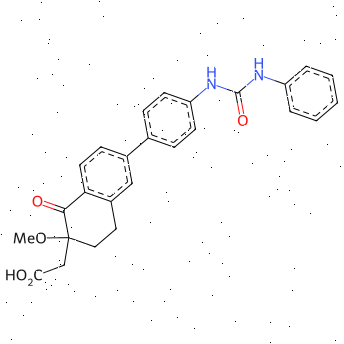 COC1(CC(=O)O)CCc2cc(-c3ccc(NC(=O)Nc4ccccc4)cc3)ccc2C1=O